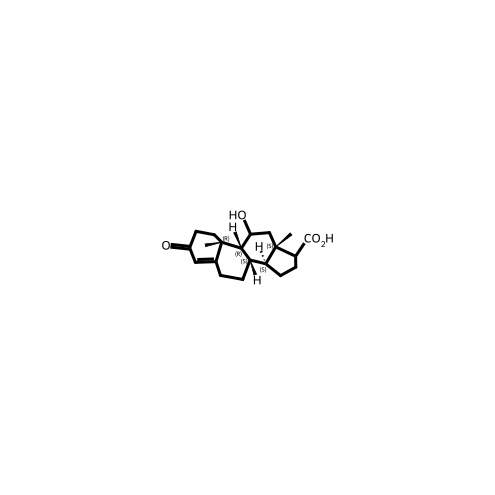 C[C@]12CCC(=O)C=C1CC[C@@H]1[C@H]2C(O)C[C@]2(C)C(C(=O)O)CC[C@@H]12